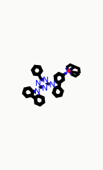 c1ccc(-c2nc(-n3c4ccccc4c4ccccc43)nc(-n3c4ccccc4c4cc(N5C6CC7CC(C6)CC5C7)ccc43)n2)cc1